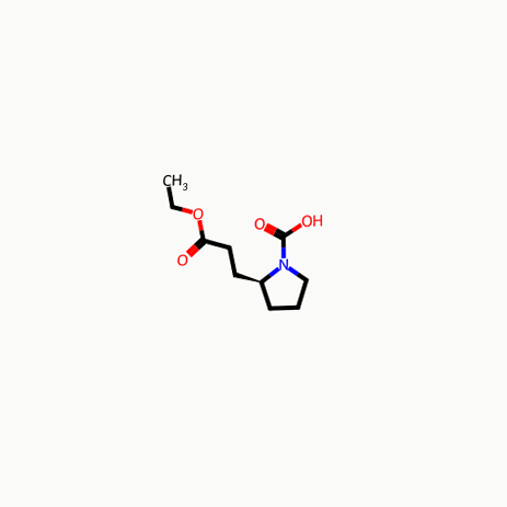 CCOC(=O)CC[C@@H]1CCCN1C(=O)O